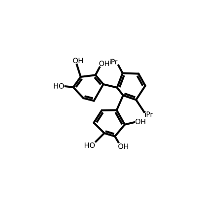 CC(C)c1ccc(C(C)C)c(-c2ccc(O)c(O)c2O)c1-c1ccc(O)c(O)c1O